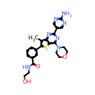 Cc1c(-c2cccc(C(=O)NCCO)c2)sc2c(N3CCOCC3)nc(-c3cnc(N)nc3)nc12